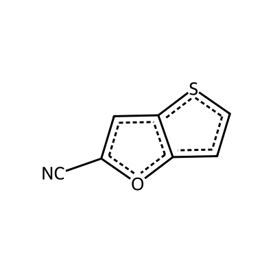 N#Cc1cc2sccc2o1